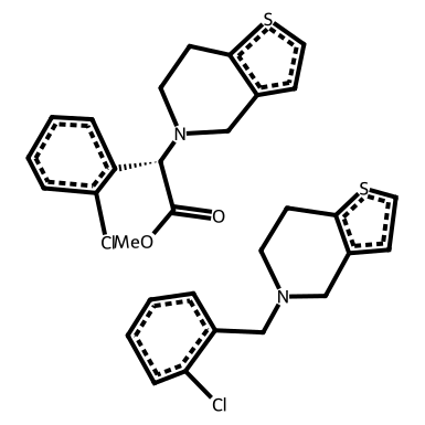 COC(=O)[C@H](c1ccccc1Cl)N1CCc2sccc2C1.Clc1ccccc1CN1CCc2sccc2C1